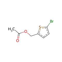 CC(=O)OCc1ccc(Br)s1